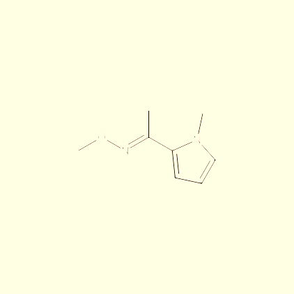 CON=C(C)c1cccn1C